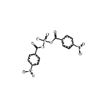 O=C(OP(=O)(Cl)OC(=O)c1ccc([N+](=O)[O-])cc1)c1ccc([N+](=O)[O-])cc1